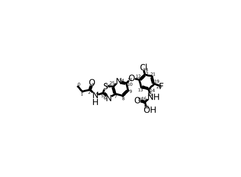 CCC(=O)Nc1nc2ccc(Oc3cc(NC(=O)O)c(F)cc3Cl)nc2s1